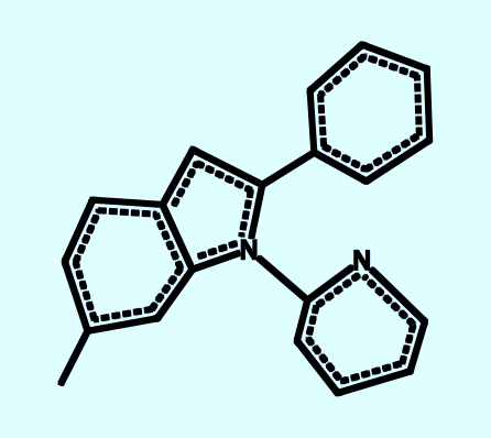 Cc1ccc2cc(-c3ccccc3)n(-c3ccccn3)c2c1